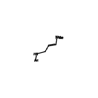 CN/C=C/CNC(C)=O